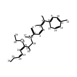 C=C(/C=C\C(C)=C(\C)C1=CC=C(C)C=CC1)N(C)CC(C)/C(=C\C=C/CC)OCC